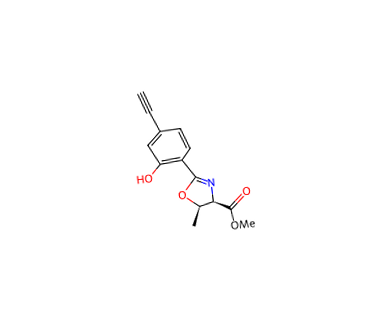 C#Cc1ccc(C2=N[C@@H](C(=O)OC)[C@@H](C)O2)c(O)c1